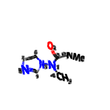 CNC(=O)N(C)n1ccnc1